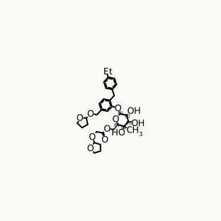 CCc1ccc(Cc2ccc(COC3CCCO3)cc2O[C@H]2O[C@H](COC(=O)COC3CCCO3)[C@@](C)(O)[C@H](O)[C@H]2O)cc1